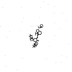 C=C1/C(=C/C=C2\CCC[C@]3(C)[C@@H](C(C)C=O)CC[C@@H]23)C[C@H](O[Si](C)(C)C(C)(C)C)C[C@@H]1O[Si](C)(C)C(C)(C)C